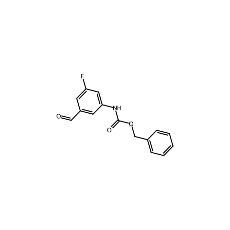 O=Cc1cc(F)cc(NC(=O)OCc2ccccc2)c1